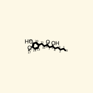 CCCCCC(O)CC(=O)CCc1ccc(OC)c(O)c1